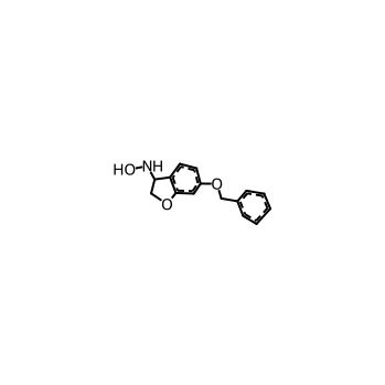 ONC1COc2cc(OCc3ccccc3)ccc21